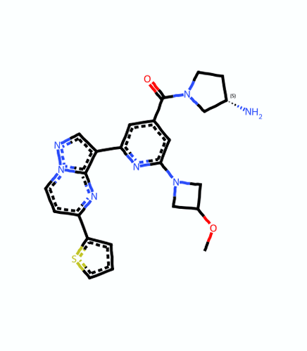 COC1CN(c2cc(C(=O)N3CC[C@H](N)C3)cc(-c3cnn4ccc(-c5cccs5)nc34)n2)C1